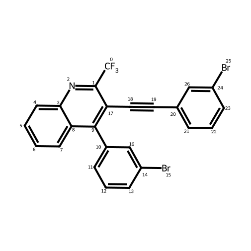 FC(F)(F)c1nc2ccccc2c(-c2cccc(Br)c2)c1C#Cc1cccc(Br)c1